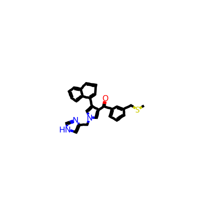 CSCc1cccc(C(=O)c2cn(Cc3c[nH]cn3)cc2-c2cccc3ccccc23)c1